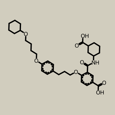 O=C(O)c1ccc(OCCCc2ccc(OCCCCOC3CCCCC3)cc2)c(C(=O)NC2CCCC(C(=O)O)C2)c1